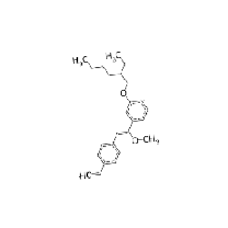 [CH]=Cc1ccc(C=C(OC)c2cc[c]c(OCC(CC)CCCC)c2)cc1